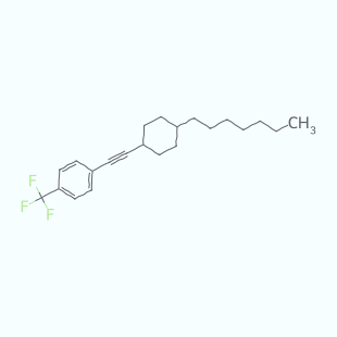 CCCCCCCC1CCC(C#Cc2ccc(C(F)(F)F)cc2)CC1